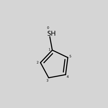 SC1=CCC=C1